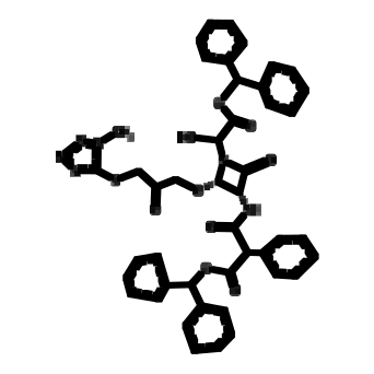 Cn1nnnc1SCC(=O)CO[C@H]1[C@@H](NC(=O)C(C(=O)OC(c2ccccc2)c2ccccc2)c2ccccc2)C(=O)N1C(O)C(=O)OC(c1ccccc1)c1ccccc1